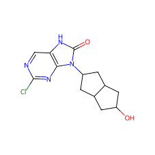 O=c1[nH]c2cnc(Cl)nc2n1C1CC2CC(O)CC2C1